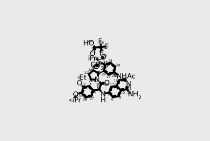 CCOc1cc(C(Nc2ccc3c(N)nccc3c2)C(=O)N2CC[C@H](C(=O)O)[C@H]2c2cc(NC(C)=O)ccc2S(=O)(=O)C(C)C)ccc1OC(C)C.O=C(O)C(F)(F)F